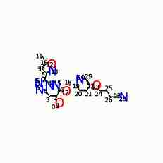 COc1cc2nnc(-c3cc(C)on3)n2nc1OCc1ccc(OCCCC#N)cn1